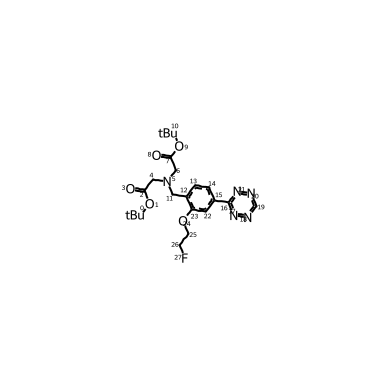 CC(C)(C)OC(=O)CN(CC(=O)OC(C)(C)C)Cc1ccc(-c2nncnn2)cc1OCCF